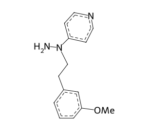 COc1cccc(CCN(N)c2ccncc2)c1